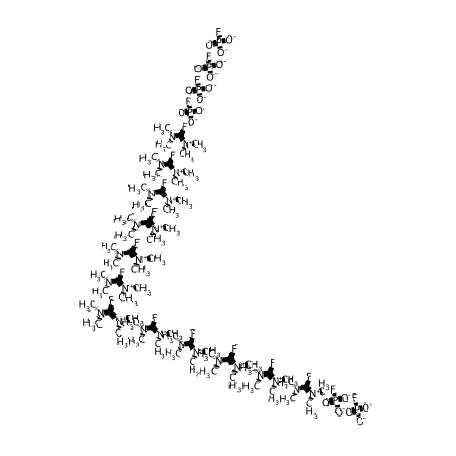 CN(C)C(F)=[N+](C)C.CN(C)C(F)=[N+](C)C.CN(C)C(F)=[N+](C)C.CN(C)C(F)=[N+](C)C.CN(C)C(F)=[N+](C)C.CN(C)C(F)=[N+](C)C.CN(C)C(F)=[N+](C)C.CN(C)C(F)=[N+](C)C.CN(C)C(F)=[N+](C)C.CN(C)C(F)=[N+](C)C.CN(C)C(F)=[N+](C)C.CN(C)C(F)=[N+](C)C.O=P([O-])([O-])F.O=P([O-])([O-])F.O=P([O-])([O-])F.O=P([O-])([O-])F.O=P([O-])([O-])F.O=P([O-])([O-])F